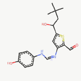 CC(C)(C)CC(O)c1cc(/N=C\Nc2ccc(O)cc2)c(C=O)s1